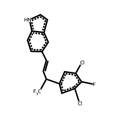 Fc1c(Cl)cc(C(C=Cc2ccc3[nH]ccc3c2)C(F)(F)F)cc1Cl